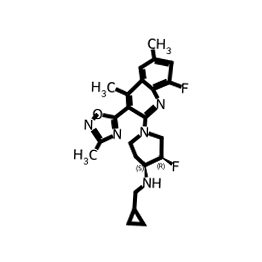 Cc1cc(F)c2nc(N3CC[C@H](NCC4CC4)[C@H](F)C3)c(-c3nc(C)no3)c(C)c2c1